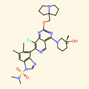 Cc1cc2c(ncn2S(=O)(=O)N(C)C)c(-c2ncc3c(N4CCC[C@@](C)(O)C4)nc(OCC45CCCN4CCC5)nc3c2F)c1C